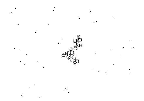 COCCCn1cc(CN(C(=O)[C@H]2CN(C(=O)OC(C)(C)C)CC[C@@H]2c2cccc(-c3ccc(NC(=O)CNC(=O)OC(C)(C)C)cc3)c2)C2CC2)c2ccccc21